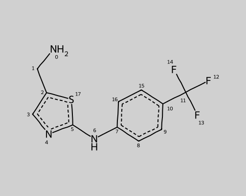 NCc1cnc(Nc2ccc(C(F)(F)F)cc2)s1